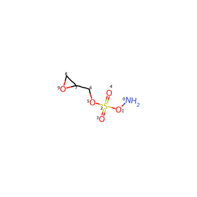 NOS(=O)(=O)OCC1CO1